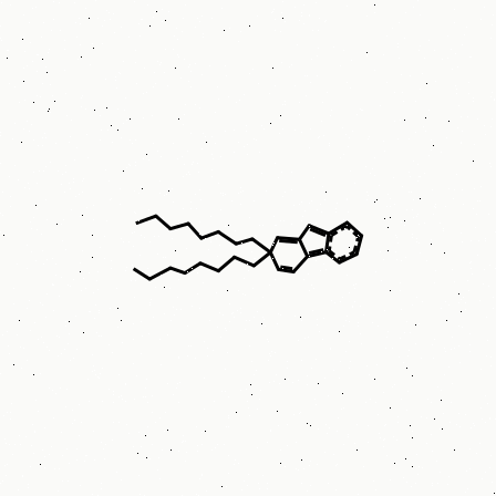 CCCCCCCCC1(CCCCCCCC)C=CC2=c3ccccc3=CC2=C1